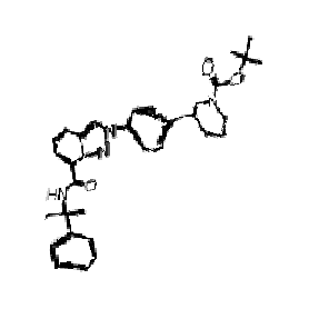 CC(C)(C)OC(=O)N1CCCC(c2ccc(-n3cc4cccc(C(=O)NC(C)(C)c5ccccc5)c4n3)cc2)C1